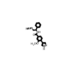 COc1cc(C(=O)NC(CN=[N+]=[N-])c2ccccc2)ccc1-c1cn[nH]c1